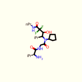 CCCNC(=O)C(F)(F)C(O)C(C(C)C)N(C(=O)CNC(=O)[C@@H](N)C(C)C)C1CCCC1